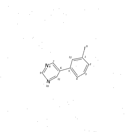 Ic1cccc(-c2cncnc2)c1